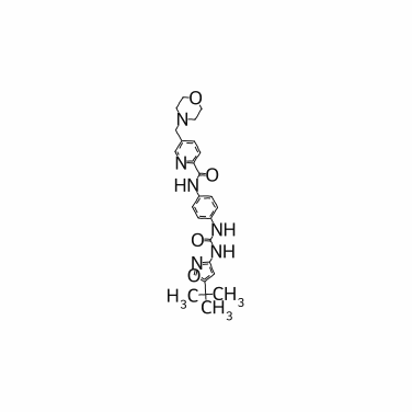 CC(C)(C)c1cc(NC(=O)Nc2ccc(NC(=O)c3ccc(CN4CCOCC4)cn3)cc2)no1